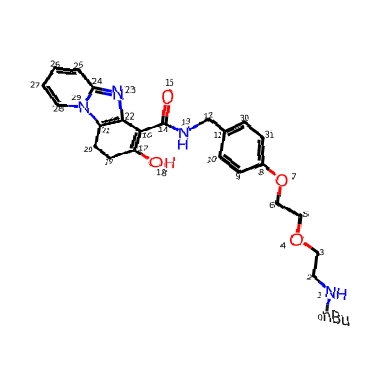 CCCCNCCOCCOc1ccc(CNC(=O)C2=C(O)CCc3c2nc2ccccn32)cc1